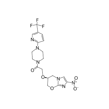 O=C(CO[C@@H]1COc2nc([N+](=O)[O-])cn2C1)N1CCN(c2ccc(C(F)(F)F)cn2)CC1